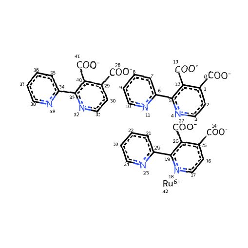 O=C([O-])c1ccnc(-c2ccccn2)c1C(=O)[O-].O=C([O-])c1ccnc(-c2ccccn2)c1C(=O)[O-].O=C([O-])c1ccnc(-c2ccccn2)c1C(=O)[O-].[Ru+6]